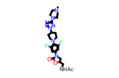 CC(=O)NCC1CN(c2cc(F)c(N3CCC(n4nnc(N5CCN(C)CC5)n4)CC3)c(F)c2)C(=O)O1